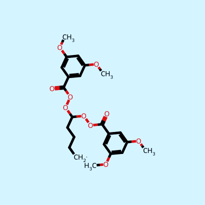 [CH2]CCC[C](OOC(=O)c1cc(OC)cc(OC)c1)OOC(=O)c1cc(OC)cc(OC)c1